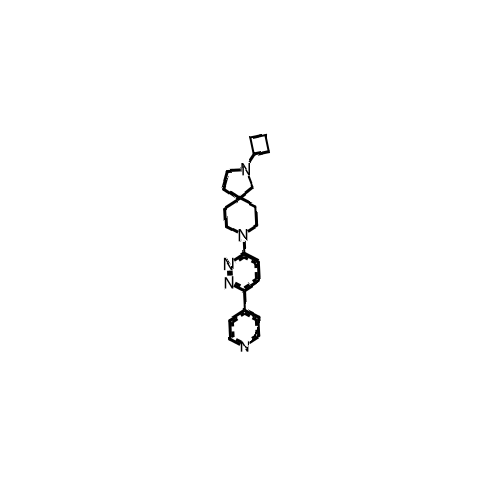 c1cc(-c2ccc(N3CCC4(CC3)CCN(C3CCC3)C4)nn2)ccn1